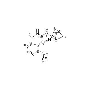 C[C@H](NC(=O)N[C@@H]1CC2CC1C2)c1cccc(OC(F)(F)F)c1